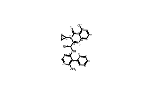 CCC(Nc1ncnc(N)c1-c1ccccn1)c1nc2cccc(Cl)c2c(=O)n1C1CC1